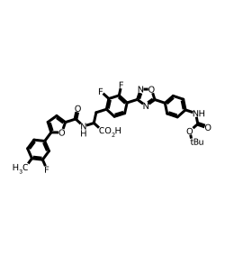 Cc1ccc(-c2ccc(C(=O)NC(Cc3ccc(-c4noc(-c5ccc(NC(=O)OC(C)(C)C)cc5)n4)c(F)c3F)C(=O)O)o2)cc1F